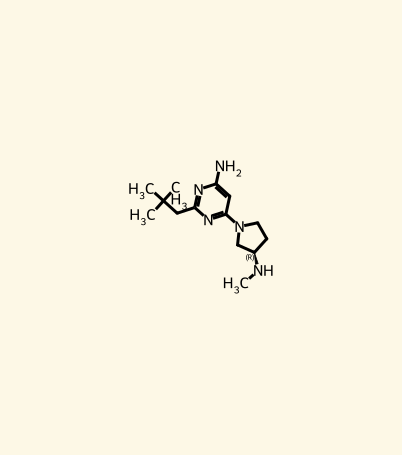 CN[C@@H]1CCN(c2cc(N)nc(CC(C)(C)C)n2)C1